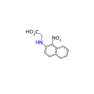 O=C(O)CNc1ccc2ccccc2c1[N+](=O)[O-]